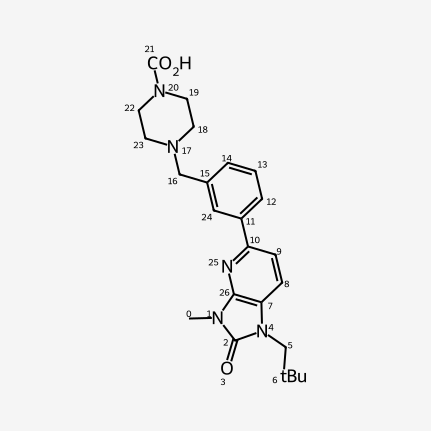 Cn1c(=O)n(CC(C)(C)C)c2ccc(-c3cccc(CN4CCN(C(=O)O)CC4)c3)nc21